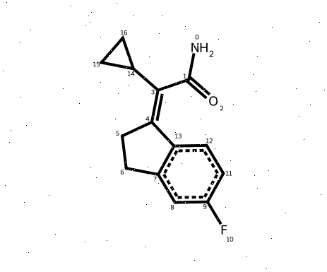 NC(=O)C(=C1CCc2cc(F)ccc21)C1CC1